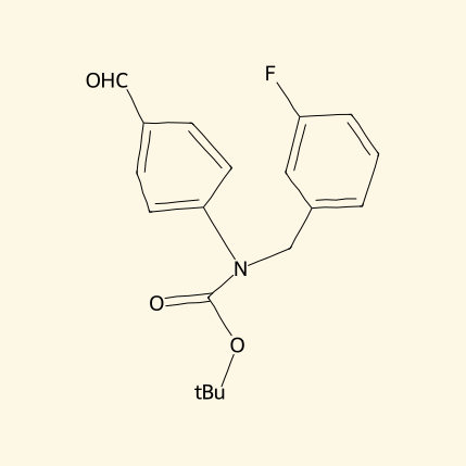 CC(C)(C)OC(=O)N(Cc1cccc(F)c1)c1ccc(C=O)cc1